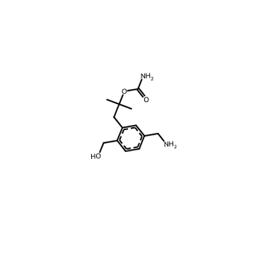 CC(C)(Cc1cc(CN)ccc1CO)OC(N)=O